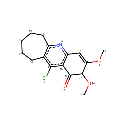 COC1=Cc2nc3c(c(Cl)c2C(=O)C1OC)CCCCC3